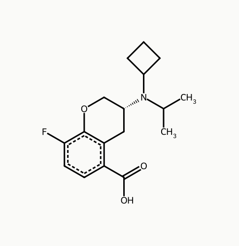 CC(C)N(C1CCC1)[C@H]1COc2c(F)ccc(C(=O)O)c2C1